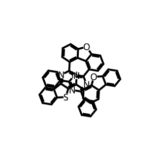 c1ccc(-c2nc(-c3ccccc3)nc(-c3cccc4oc5cccc(-c6nc(-c7cccc8c7oc7ccccc78)c7sc8ccccc8c7n6)c5c34)n2)cc1